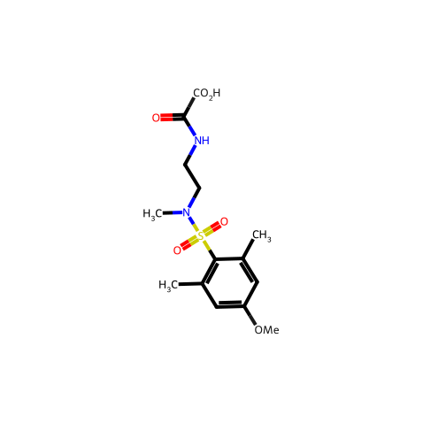 COc1cc(C)c(S(=O)(=O)N(C)CCNC(=O)C(=O)O)c(C)c1